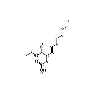 CCCCCCC=CC(CC(=O)O)C(=O)OCC